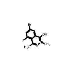 Cc1n[n+](C)c(O)c2cc(Br)cc(F)c12